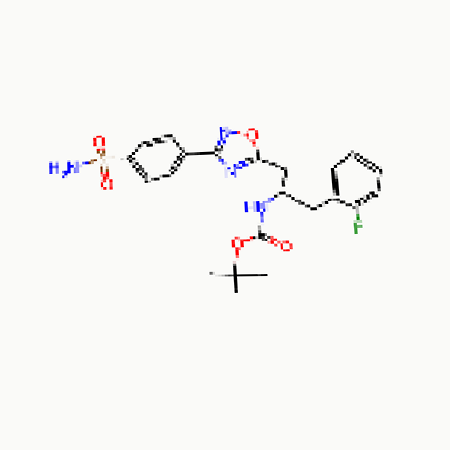 CC(C)(C)OC(=O)N[C@@H](Cc1nc(-c2ccc(S(N)(=O)=O)cc2)no1)Cc1ccccc1F